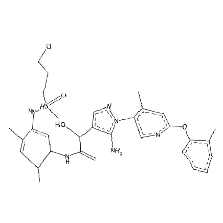 C=C(NC1C=C(N[SH](C)(=O)CCCCl)C(C)=CC1C)C(O)c1cnn(-c2cnc(Oc3ccccc3C)cc2C)c1N